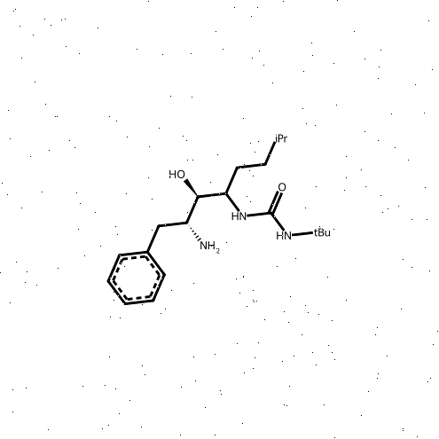 CC(C)CCC(NC(=O)NC(C)(C)C)[C@H](O)[C@H](N)Cc1ccccc1